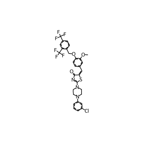 COc1cc(C=C2SC(N3CCN(c4cccc(Cl)c4)CC3)=NC2=O)ccc1OCc1ccc(C(F)(F)F)cc1C(F)(F)F